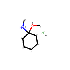 CNC1(OC)CCCCC1.Cl